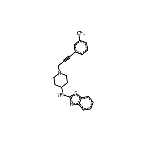 FC(F)(F)c1cccc(C#CCN2CCC(Nc3nc4ccccc4s3)CC2)c1